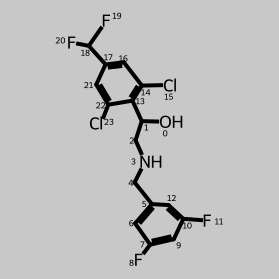 OC(CNCc1cc(F)cc(F)c1)c1c(Cl)cc(C(F)F)cc1Cl